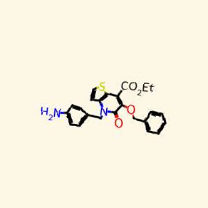 CCOC(=O)c1c(OCc2ccccc2)c(=O)n(Cc2ccc(N)cc2)c2ccsc12